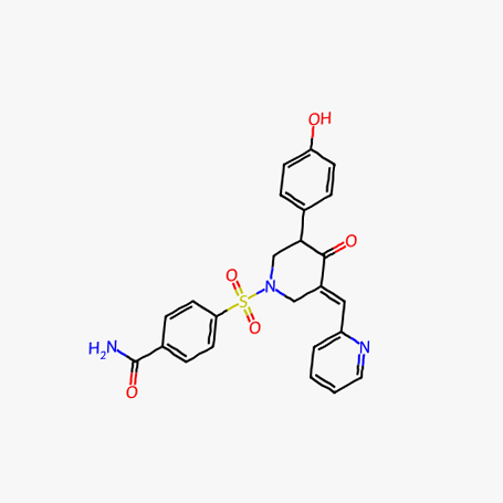 NC(=O)c1ccc(S(=O)(=O)N2CC(=Cc3ccccn3)C(=O)C(c3ccc(O)cc3)C2)cc1